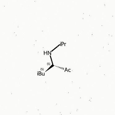 CC[C@H](C)[C@H](NC(C)C)C(C)=O